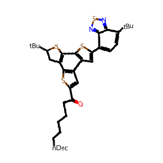 CCCCCCCCCCCCCCCC(=O)c1cc2c(s1)c1c(c3sc(-c4ccc(C(C)(C)C)c5nsnc45)cc32)SC(C(C)(C)C)C1